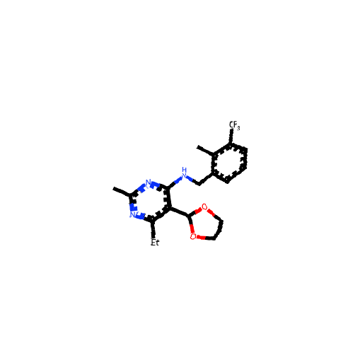 CCc1nc(C)nc(NCc2cccc(C(F)(F)F)c2C)c1C1OCCO1